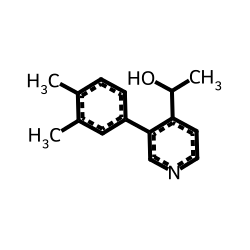 Cc1ccc(-c2cnccc2C(C)O)cc1C